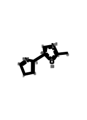 Cc1ncc(C2=CCC=N2)o1